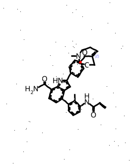 C=CC(=O)Nc1cccc(-c2ccc(C(N)=O)c3[nH]c(-c4ccc(C(=O)/C5=C\CCN(C)CCC5)cc4)cc23)c1C